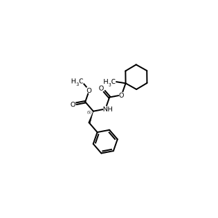 COC(=O)[C@H](Cc1ccccc1)NC(=O)OC1(C)CCCCC1